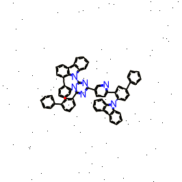 c1ccc(-c2cccc(-c3nc(-c4ccc(-c5cc(-c6ccccc6)ccc5-n5c6ccccc6c6ccccc65)nc4)nc(-n4c5ccccc5c5cccc(-c6ccccc6)c54)n3)c2)cc1